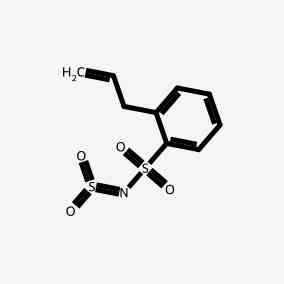 C=CCc1ccccc1S(=O)(=O)N=S(=O)=O